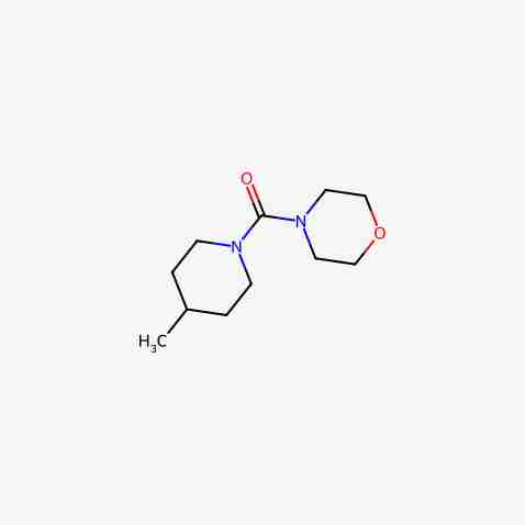 CC1CCN(C(=O)N2CCOCC2)CC1